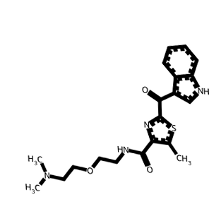 Cc1sc(C(=O)c2c[nH]c3ccccc23)nc1C(=O)NCCOCCN(C)C